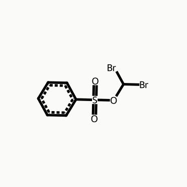 O=S(=O)(OC(Br)Br)c1ccccc1